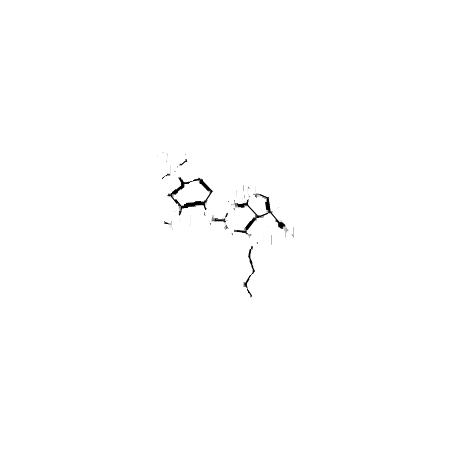 CCCCNc1nc(Nc2ccc(P(C)(C)=O)cc2OC)nc2[nH]cc(C#N)c12